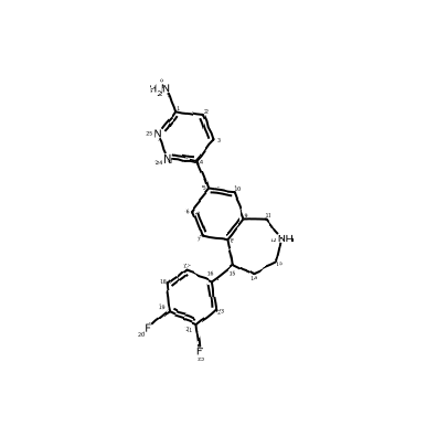 Nc1ccc(-c2ccc3c(c2)CNCCC3c2ccc(F)c(F)c2)nn1